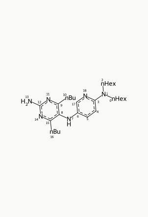 CCCCCCN(CCCCCC)c1ccc(Nc2c(CCCC)nc(N)nc2CCCC)cn1